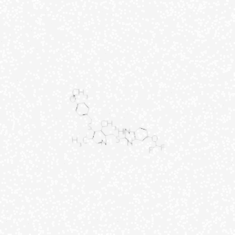 COc1ccc(CSc2c(C)cnc(CSc3nc4cc(OC(F)F)ccc4[nH]3)c2C)cc1